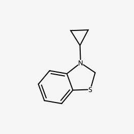 c1ccc2c(c1)SCN2C1CC1